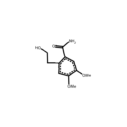 COc1cc(CCO)c(C(N)=O)cc1OC